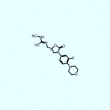 N#CN/C(S)=N/C[C@@H]1CN(c2ccc(N3CCOCC3)c(F)c2)C(=O)O1